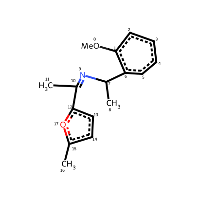 COc1ccccc1C(C)N=C(C)c1ccc(C)o1